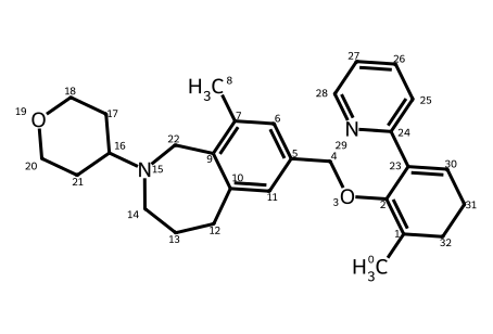 CC1=C(OCc2cc(C)c3c(c2)CCCN(C2CCOCC2)C3)C(c2ccccn2)=CCC1